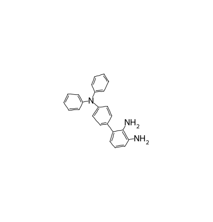 Nc1cccc(-c2ccc(N(c3ccccc3)c3ccccc3)cc2)c1N